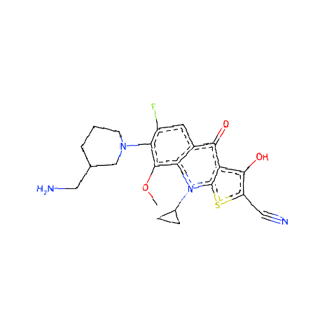 COc1c(N2CCCC(CN)C2)c(F)cc2c(=O)c3c(O)c(C#N)sc3n(C3CC3)c12